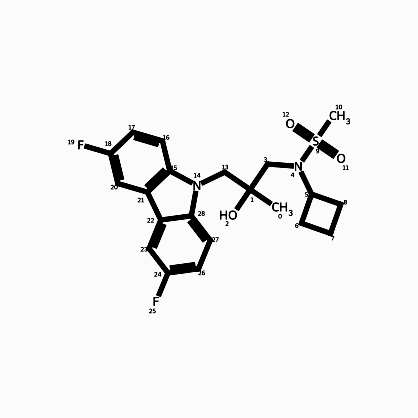 CC(O)(CN(C1CCC1)S(C)(=O)=O)Cn1c2ccc(F)cc2c2cc(F)ccc21